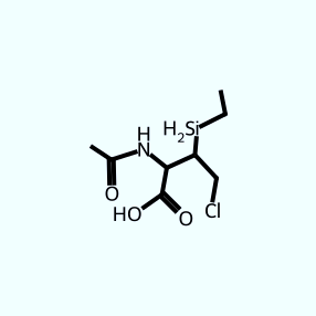 CC[SiH2]C(CCl)C(NC(C)=O)C(=O)O